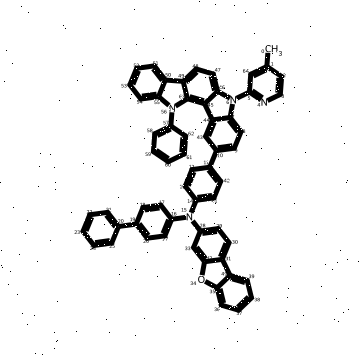 Cc1ccnc(-n2c3ccc(-c4ccc(N(c5ccc(-c6ccccc6)cc5)c5ccc6c(c5)oc5ccccc56)cc4)cc3c3c2ccc2c4ccccc4n(-c4ccccc4)c23)c1